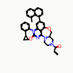 C=CC(=O)N1CCN2c3nc(=O)n(-c4ccccc4C4CC4)c4cc(-c5cccc6cccc(C)c56)cc(c34)OCC2C1